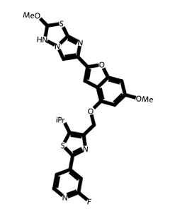 COc1cc(OCc2nc(-c3ccnc(F)c3)sc2C(C)C)c2cc(-c3cn4c(n3)SC(OC)N4)oc2c1